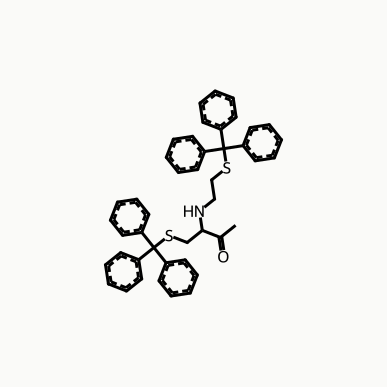 CC(=O)C(CSC(c1ccccc1)(c1ccccc1)c1ccccc1)NCCSC(c1ccccc1)(c1ccccc1)c1ccccc1